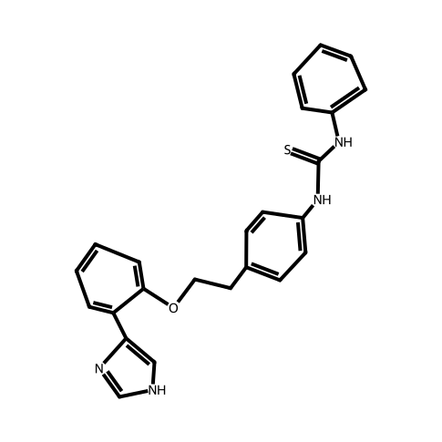 S=C(Nc1ccccc1)Nc1ccc(CCOc2ccccc2-c2c[nH]cn2)cc1